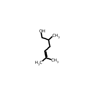 CC(C)=CCC(C)CO